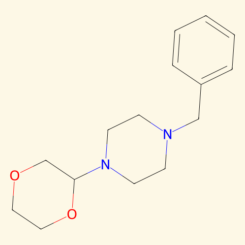 c1ccc(CN2CCN(C3COCCO3)CC2)cc1